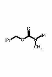 CC(C)COC(=O)N(C)C(C)C